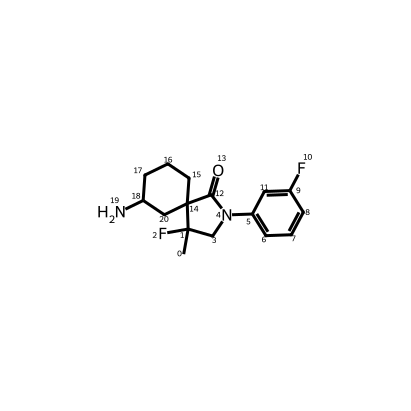 CC1(F)CN(c2cccc(F)c2)C(=O)C12CCCC(N)C2